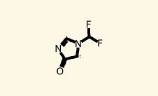 O=C1[C]N(C(F)F)[C]=N1